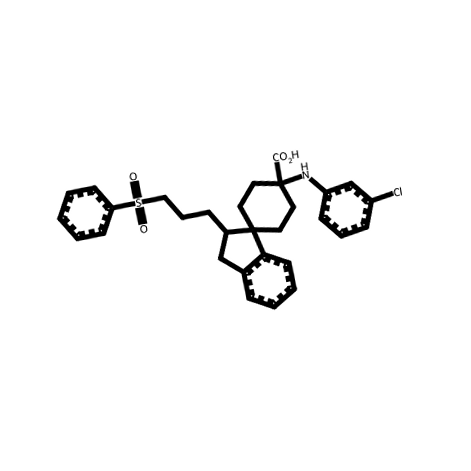 O=C(O)C1(Nc2cccc(Cl)c2)CCC2(CC1)c1ccccc1CC2CCCS(=O)(=O)c1ccccc1